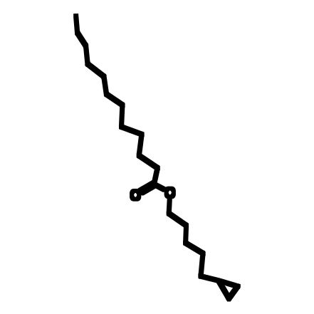 CCCCCCCCCCCC(=O)OCCCCCC1CC1